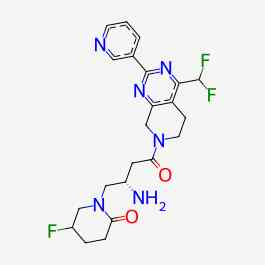 N[C@@H](CC(=O)N1CCc2c(nc(-c3cccnc3)nc2C(F)F)C1)CN1CC(F)CCC1=O